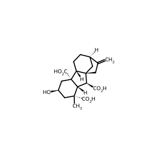 C=C1C[C@]23C[C@H]1CC[C@H]2[C@]1(C(=O)O)C[C@H](O)C[C@@](C)(C(=O)O)[C@H]1[C@@H]3C(=O)O